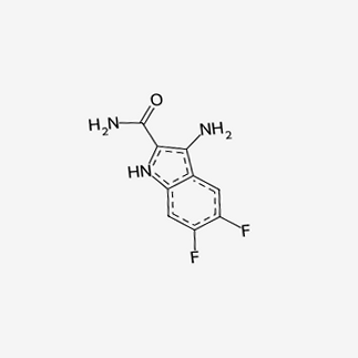 NC(=O)c1[nH]c2cc(F)c(F)cc2c1N